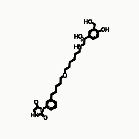 O=C1CNC(=O)N1c1cccc(CCCCCOCCCCCCNC[C@H](O)c2ccc(O)c(CO)c2)c1